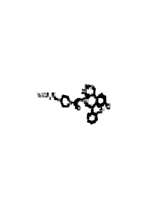 CCOC(=O)CC1CCN(C(=O)CN2CC(c3ccccc3Br)c3cc(Cl)ccc3C(CC(C)C)C2=O)CC1